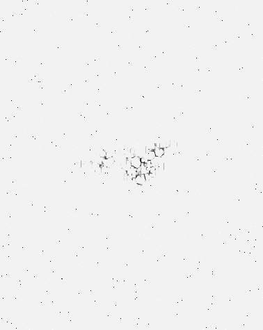 CC(C)(C)OC(=O)N1C[C@@H](CCC(Nc2cccc(S(=O)(=O)NC(=O)c3ccc(C(C)(C)C)nc3F)n2)c2cccc(C(C)(C)C)n2)CC1(C)C